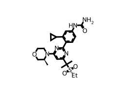 CCS(=O)(=O)C(C)(C)c1cc(N2CCOC[C@@H]2C)nc(-c2ccc(NC(N)=O)cc2C2CC2)n1